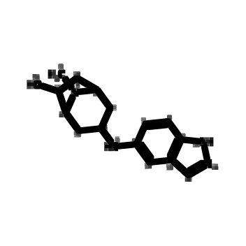 CN1C2CC(Nc3ccc4[nH]ncc4c3)CC1C(O)C2